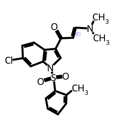 Cc1ccccc1S(=O)(=O)n1cc(C(=O)/C=C/N(C)C)c2ccc(Cl)cc21